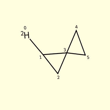 [2H]C1CC12CC2